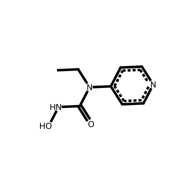 CCN(C(=O)NO)c1ccncc1